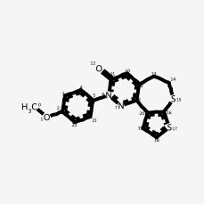 COc1ccc(-n2nc3c(cc2=O)CCSc2sccc2-3)cc1